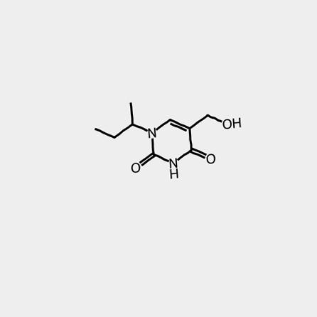 CCC(C)n1cc(CO)c(=O)[nH]c1=O